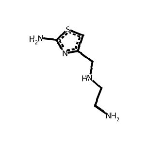 NCCNCc1csc(N)n1